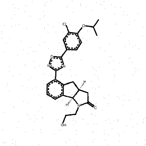 CC(C)Oc1ccc(-c2nc(-c3cccc4c3C[C@H]3CC(=O)N(CCO)[C@@H]43)no2)cc1Cl